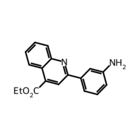 CCOC(=O)c1cc(-c2cccc(N)c2)nc2ccccc12